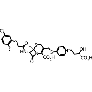 O=C(CSc1cc(Cl)ccc1Cl)N[C@H]1C(=O)N2C(C(=O)O)=C(CSc3cc[n+](CC[C@H](O)C(=O)O)cc3)CS[C@H]12